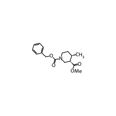 COC(=O)[C@H]1CN(C(=O)OCc2ccccc2)CC[C@H]1C